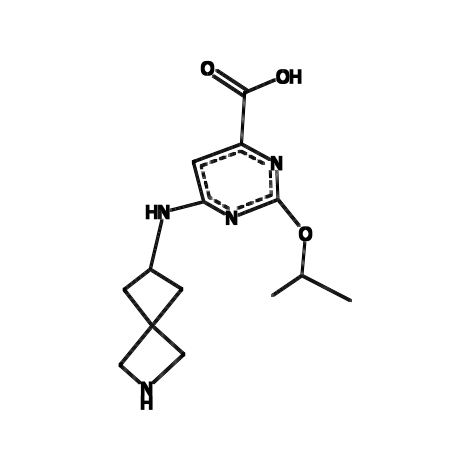 CC(C)Oc1nc(NC2CC3(CNC3)C2)cc(C(=O)O)n1